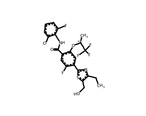 CCc1nc(-c2cc(O[C@@H](C)C(F)(F)F)c(C(=O)Nc3c(F)cccc3Cl)cc2F)sc1CO